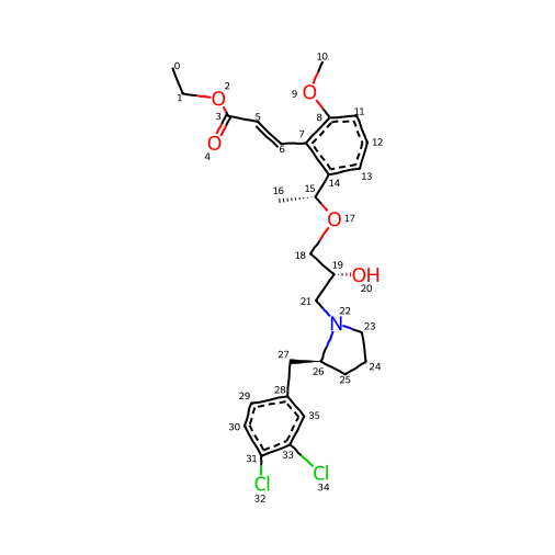 CCOC(=O)/C=C/c1c(OC)cccc1[C@@H](C)OC[C@H](O)CN1CCC[C@H]1Cc1ccc(Cl)c(Cl)c1